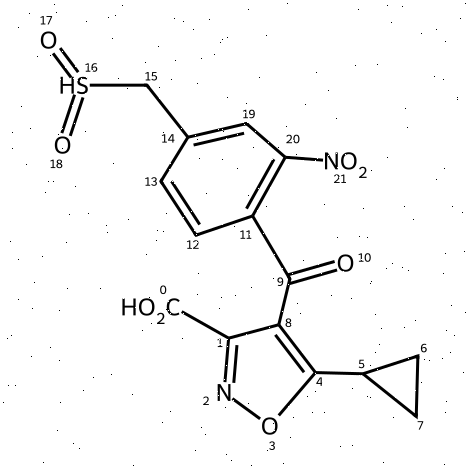 O=C(O)c1noc(C2CC2)c1C(=O)c1ccc(C[SH](=O)=O)cc1[N+](=O)[O-]